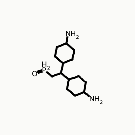 NC1CCC(C(C[PH2]=O)C2CCC(N)CC2)CC1